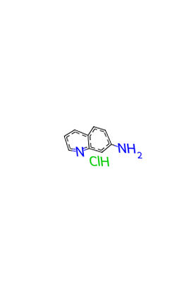 Cl.Nc1ccc2cccnc2c1